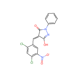 O=C1C(=Cc2cc([N+](=O)[O-])c(Cl)cc2Cl)C(O)=NN1c1ccccc1